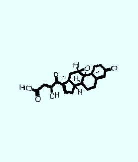 C[C@]12CCC(=O)C=C1CC[C@H]1[C@@H]3CC=C(C(=O)C(O)CC(=O)O)[C@@]3(C)C[C@@H]3O[C@@]312